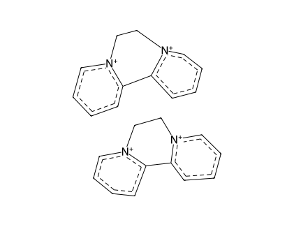 c1cc[n+]2c(c1)-c1cccc[n+]1CC2.c1cc[n+]2c(c1)-c1cccc[n+]1CC2